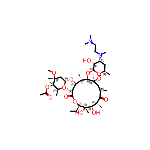 CC[C@H]1OC(=O)[C@H](C)[C@@H](O[C@H]2C[C@@](C)(OC)[C@@H](OC(C)=O)[C@H](C)O2)[C@H](C)[C@@H](O[C@@H]2O[C@H](C)C[C@H](N(C)CCN(C)C)[C@H]2O)[C@@](C)(OC)C[C@@H](C)C(=O)[C@H](C)[C@@H](O)[C@]1(C)O